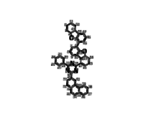 C1=CC2Oc3c(-c4cccc5c4OC4C=CC=C(c6nc(-c7ccccc7)nc(-c7ccc8ccc9ccccc9c8c7)n6)C54)cccc3C2C=C1